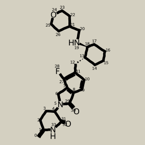 C=C1CCC(N2Cc3c(ccc(C[C@H]4CCCC[C@@H]4NCC4CCOCC4)c3F)C2=O)C(=O)N1